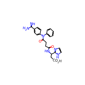 N=C(N)c1ccc(N(C(=O)CCC(=O)NC(CC(=O)O)c2ncc[nH]2)c2ccccc2)cc1